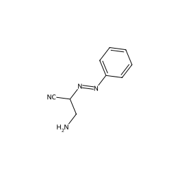 N#CC(CN)/N=N/c1ccccc1